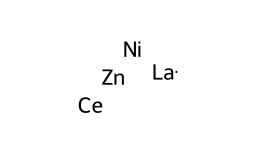 [Ce].[La].[Ni].[Zn]